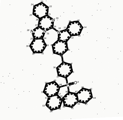 O=P(c1ccc(-c2ccc3c(c2)c2ccccc2n3-c2nc3ccccc3c3nc4ccccc4n23)cc1)(c1cccc2ccccc12)c1cccc2ccccc12